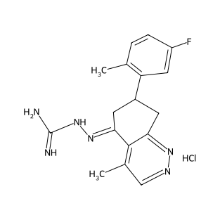 Cc1ccc(F)cc1C1CC(=NNC(=N)N)c2c(C)cnnc2C1.Cl